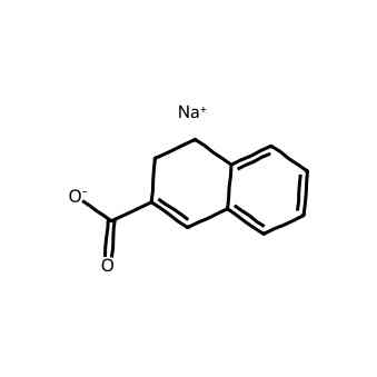 O=C([O-])C1=Cc2ccccc2CC1.[Na+]